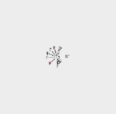 [K+].[O]=[Ta](=[O])([O-])([F])([F])([F])([F])([F])([F])[F]